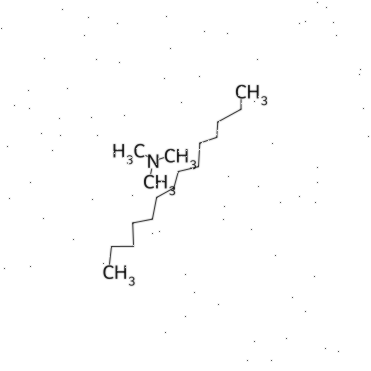 CCCCCCCCCCCCCC.CN(C)C